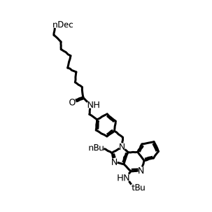 CCCCCCCCCCCCCCCCCCC(=O)NCc1ccc(Cn2c(CCCC)nc3c(NC(C)(C)C)nc4ccccc4c32)cc1